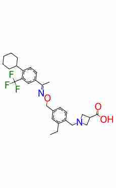 CCc1cc(CO/N=C(\C)c2ccc(C3CCCCC3)c(C(F)(F)F)c2)ccc1CN1CC(C(=O)O)C1